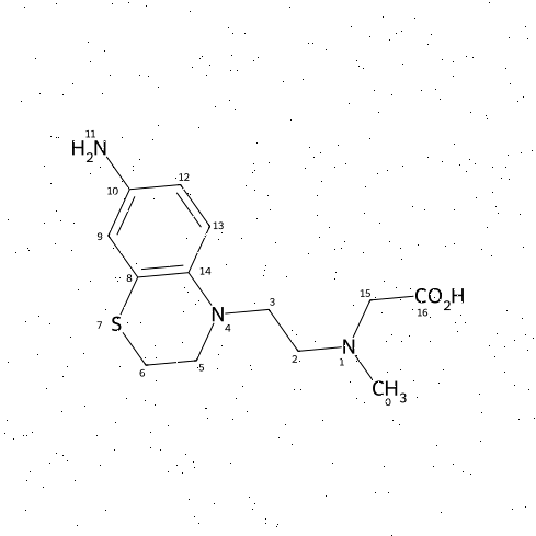 CN(CCN1CCSc2cc(N)ccc21)CC(=O)O